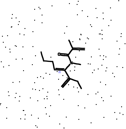 C=C(C)C(=O)N(C)/C(=C\CCC)C(=C)CC